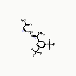 N/C(=N\N/C=C\C(=O)O)c1cc(C(F)(F)F)cc(C(F)(F)F)c1